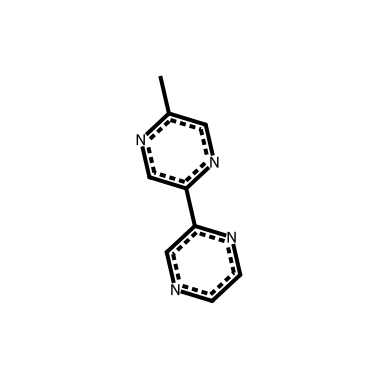 Cc1cnc(-c2cnccn2)cn1